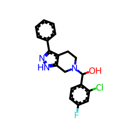 OC(c1ccc(F)cc1Cl)N1CCc2c(-c3ccccc3)n[nH]c2C1